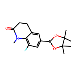 CN1C(=O)CCc2cc(B3OC(C)(C)C(C)(C)O3)cc(F)c21